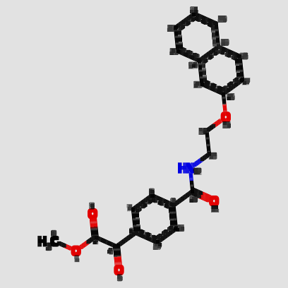 COC(=O)C(=O)c1ccc(C(=O)NCCOc2ccc3ccccc3c2)cc1